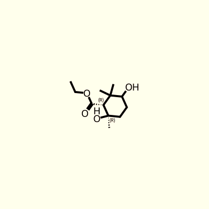 CCOC(=O)[C@@H]1C(C)(C)C(O)CC[C@@]1(C)O